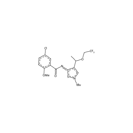 COc1ccc(Cl)cc1C(=O)N=c1sn(C(C)(C)C)cc1C(C)OCC(F)(F)F